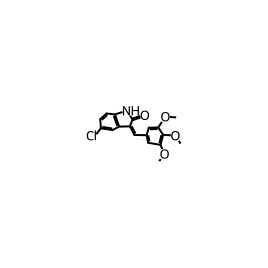 COc1cc(C=C2C(=O)Nc3ccc(Cl)cc32)cc(OC)c1OC